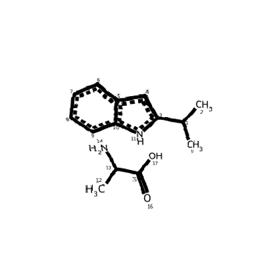 CC(C)c1cc2ccccc2[nH]1.CC(N)C(=O)O